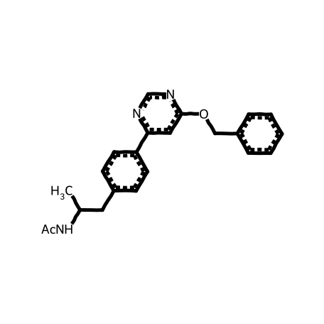 CC(=O)NC(C)Cc1ccc(-c2cc(OCc3ccccc3)ncn2)cc1